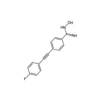 N=C(NO)c1ccc(C#Cc2ccc(F)cc2)cc1